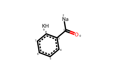 O=[C]([Na])c1ccccc1.[KH]